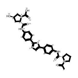 CC(=O)N1CCC[C@H]1C(=O)Nc1ccc(-c2cnc(-c3ccc(NC(=O)[C@@H]4C[C@@H](O)CN4C(=O)O)cc3)o2)cc1